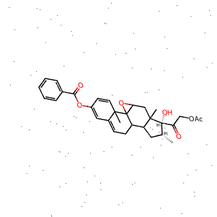 CC(=O)OCC(=O)[C@@]1(O)[C@H](C)CC2C3CC=C4C=C(OC(=O)c5ccccc5)C=CC4(C)C34OC4CC21C